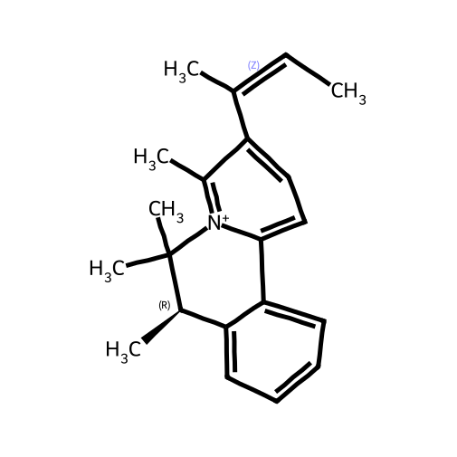 C/C=C(/C)c1ccc2[n+](c1C)C(C)(C)[C@H](C)c1ccccc1-2